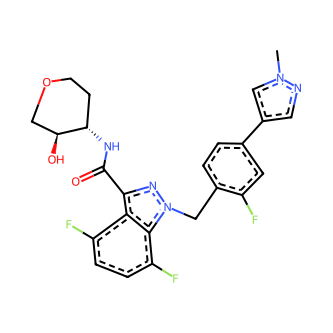 Cn1cc(-c2ccc(Cn3nc(C(=O)N[C@H]4CCOC[C@@H]4O)c4c(F)ccc(F)c43)c(F)c2)cn1